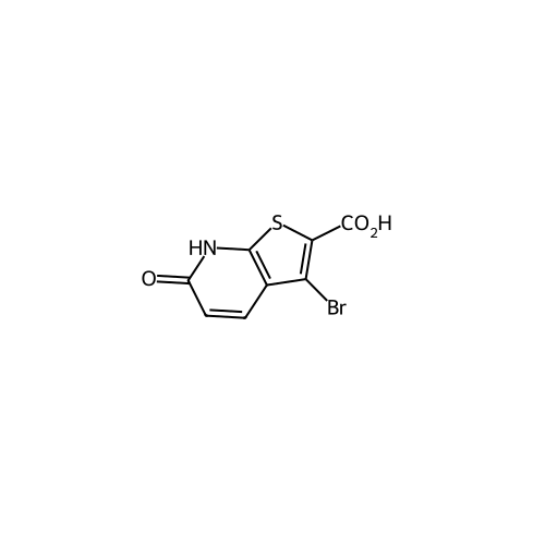 O=C(O)c1sc2[nH]c(=O)ccc2c1Br